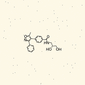 Cc1onc(-c2ccccc2)c1-c1ccc(C(=O)NC[C@H](O)CO)cc1